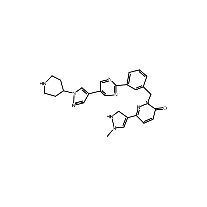 CN1C=C(c2ccc(=O)n(Cc3cccc(-c4ncc(-c5cnn(C6CCNCC6)c5)cn4)c3)n2)CN1